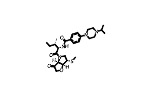 CC[C@H](C)[C@H](NC(=O)c1ccc(N2CCN(C(C)C)CC2)cc1)C(=O)N1C[C@H](SC)[C@H]2OCC(=O)[C@H]21